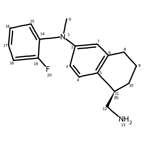 CN(c1ccc2c(c1)CCC[C@H]2CN)c1ccccc1F